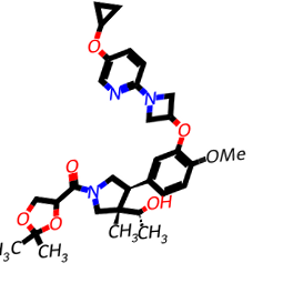 COc1ccc([C@@H]2CN(C(=O)C3COC(C)(C)O3)C[C@@]2(C)[C@@H](C)O)cc1OC1CN(c2ccc(OC3CC3)cn2)C1